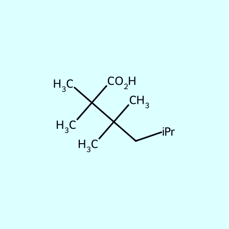 CC(C)CC(C)(C)C(C)(C)C(=O)O